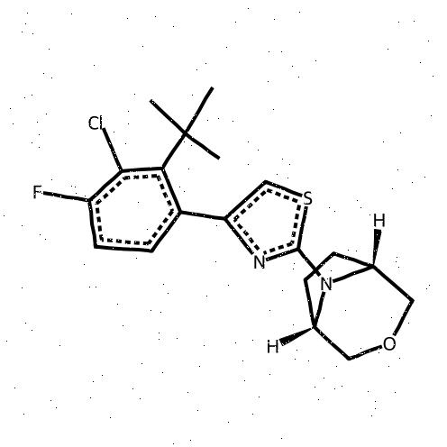 CC(C)(C)c1c(-c2csc(N3[C@@H]4CC[C@H]3COC4)n2)ccc(F)c1Cl